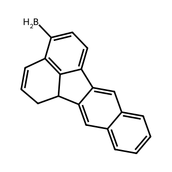 Bc1ccc2c3c1C=CCC3c1cc3ccccc3cc1-2